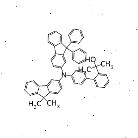 CC(C)(O)c1ccccc1-c1ccc(N(c2ccc3c(c2)-c2ccccc2C3(C)C)c2ccc3c(c2)C(c2ccccc2)(c2ccccc2)c2ccccc2-3)cc1